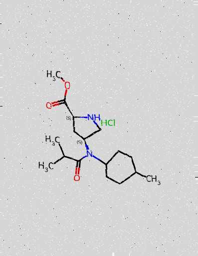 COC(=O)[C@@H]1C[C@H](N(C(=O)C(C)C)C2CCC(C)CC2)CN1.Cl